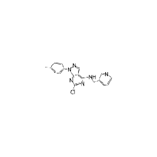 Cc1ccc(-n2ncc3c(NCc4cccnc4)nc(Cl)nc32)cc1